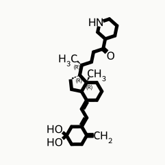 C=C1CCC(O)(O)CC1=CC=C1CCC[C@@]2(C)C1CC[C@@H]2[C@H](C)CCC(=O)C1CCCNC1